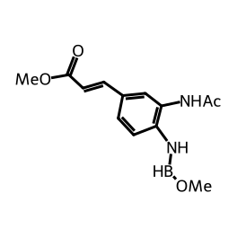 COBNc1ccc(/C=C/C(=O)OC)cc1NC(C)=O